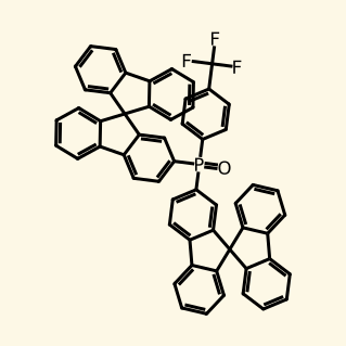 O=P(c1ccc(C(F)(F)F)cc1)(c1ccc2c(c1)C1(c3ccccc3-c3ccccc31)c1ccccc1-2)c1ccc2c(c1)C1(c3ccccc3-c3ccccc31)c1ccccc1-2